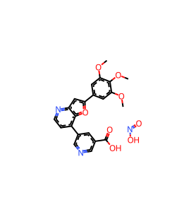 COc1cc(-c2cc3nccc(-c4cncc(C(=O)O)c4)c3o2)cc(OC)c1OC.O=NO